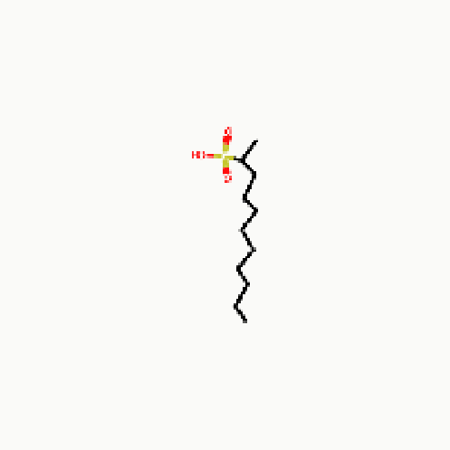 CCCCCCCCCC(C)S(=O)(=O)O